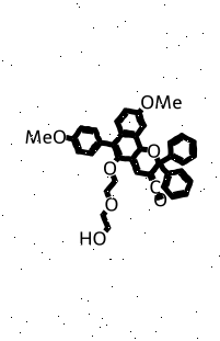 COc1ccc(C2=C(OCCOCCO)C3=CC(=C=O)C(c4ccccc4)(c4ccccc4)OC3c3cc(OC)ccc32)cc1